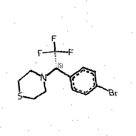 FC(F)(F)[C@H](c1ccc(Br)cc1)N1CCSCC1